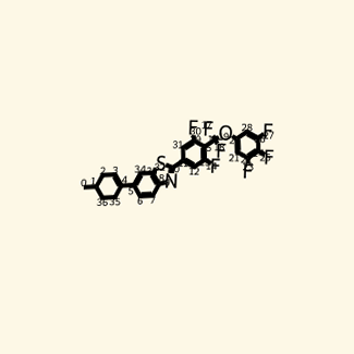 CC1CC=C(c2ccc3nc(-c4cc(F)c(C(F)(F)Oc5cc(F)c(F)c(F)c5)c(F)c4)sc3c2)CC1